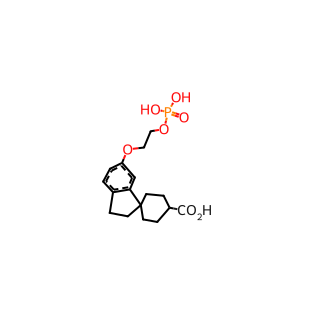 O=C(O)C1CCC2(CCc3ccc(OCCOP(=O)(O)O)cc32)CC1